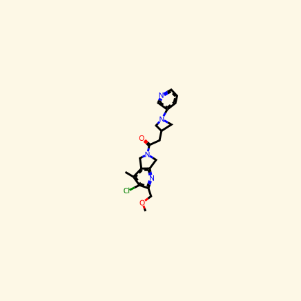 COCc1nc2c(c(C)c1Cl)CN(C(=O)CC1CN(c3cccnc3)C1)C2